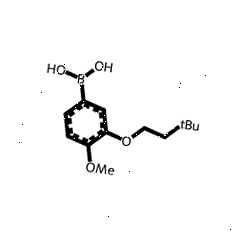 COc1ccc(B(O)O)cc1OCCC(C)(C)C